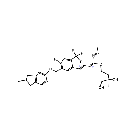 C/C=N/C(=C\C=C\c1cc(COc2cc3c(cn2)CC(C)C3)c(F)cc1C(F)(F)F)OCCC(C)(O)CO